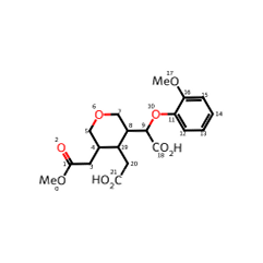 COC(=O)CC1COCC(C(Oc2ccccc2OC)C(=O)O)C1CC(=O)O